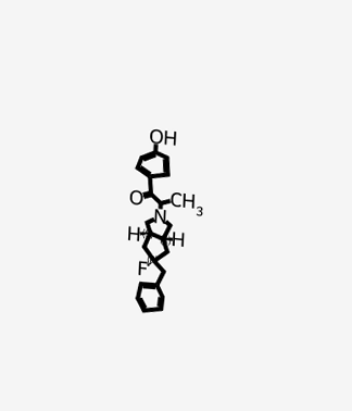 CC(C(=O)c1ccc(O)cc1)N1C[C@@H]2C[C@@](F)(Cc3ccccc3)C[C@@H]2C1